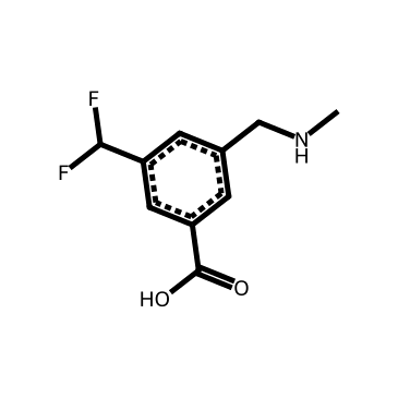 CNCc1cc(C(=O)O)cc(C(F)F)c1